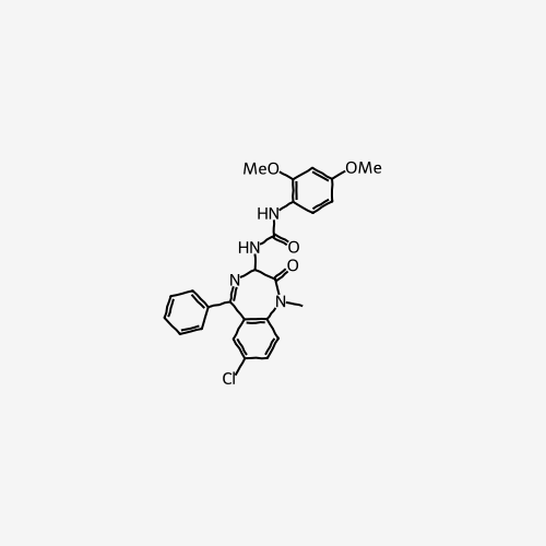 COc1ccc(NC(=O)NC2N=C(c3ccccc3)c3cc(Cl)ccc3N(C)C2=O)c(OC)c1